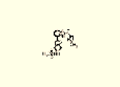 Cn1ccc(Nc2nc3cccc(-c4cc5cc(NS(C)(=O)=O)ccc5s4)n3n2)n1